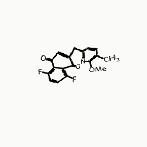 COc1nc(CC2=CC(=O)c3c(F)ccc(F)c3C2=O)ccc1C